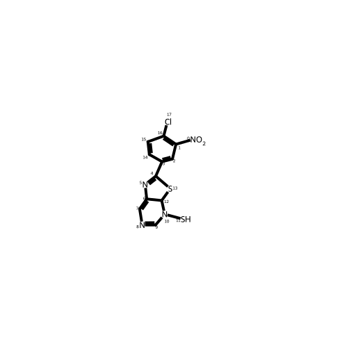 O=[N+]([O-])c1cc(C2=NC3=CN=CN(S)C3S2)ccc1Cl